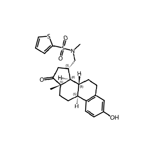 CN(C[C@H]1CC(=O)[C@@]2(C)CC[C@@H]3c4ccc(O)cc4CC[C@H]3[C@H]12)S(=O)(=O)c1cccs1